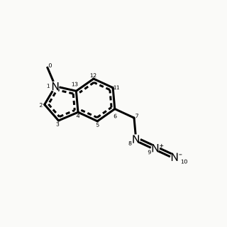 Cn1ccc2cc(CN=[N+]=[N-])ccc21